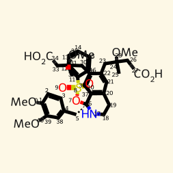 COc1ccc(C[C@@]2(OS(=O)(=O)c3ccccc3)NCCc3cc(CC(C)(CC(=O)O)OC)c(CC(C)(CC(=O)O)OC)cc32)cc1OC